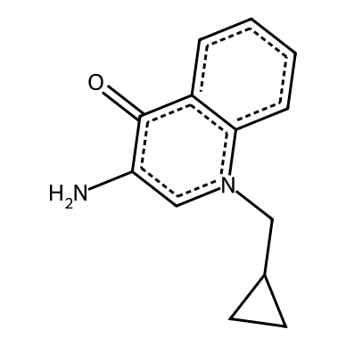 Nc1cn(CC2CC2)c2ccccc2c1=O